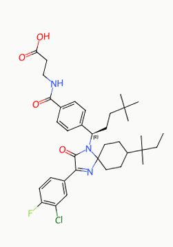 CCC(C)(C)C1CCC2(CC1)N=C(c1ccc(F)c(Cl)c1)C(=O)N2[C@H](CCC(C)(C)C)c1ccc(C(=O)NCCC(=O)O)cc1